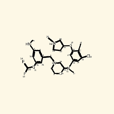 CNc1cc(CN2CCOC(N(C)c3cc(Cl)c(C)c(OC4CCN(C)C4)c3)C2)cc(OC(F)F)c1